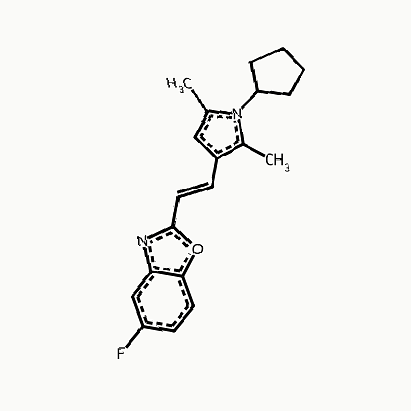 Cc1cc(/C=C/c2nc3cc(F)ccc3o2)c(C)n1C1CCCC1